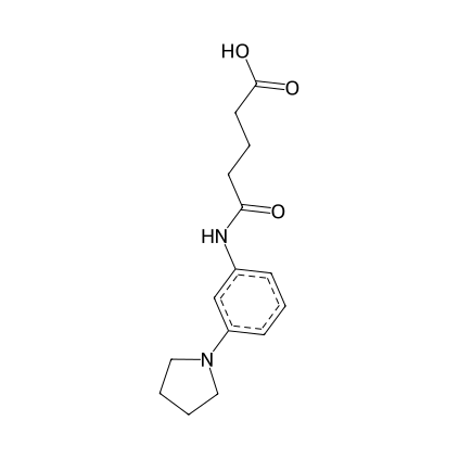 O=C(O)CCCC(=O)Nc1cccc(N2CCCC2)c1